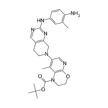 Cc1cc(Nc2ncc3c(n2)CN(c2cnc4c(c2C)N(C(=O)OC(C)(C)C)CCO4)CC3)ccc1N